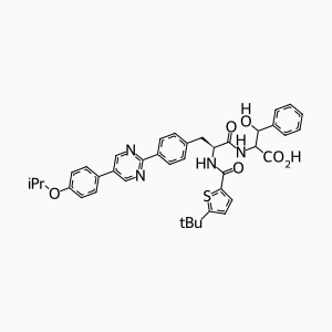 CC(C)Oc1ccc(-c2cnc(-c3ccc(C[C@H](NC(=O)c4ccc(C(C)(C)C)s4)C(=O)NC(C(=O)O)C(O)c4ccccc4)cc3)nc2)cc1